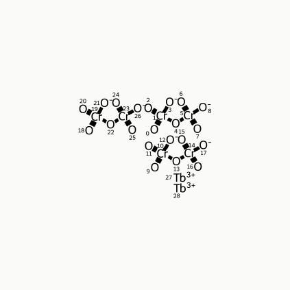 [O]=[Cr](=[O])([O-])[O][Cr](=[O])(=[O])[O-].[O]=[Cr](=[O])([O-])[O][Cr](=[O])(=[O])[O-].[O]=[Cr](=[O])([O-])[O][Cr](=[O])(=[O])[O-].[Tb+3].[Tb+3]